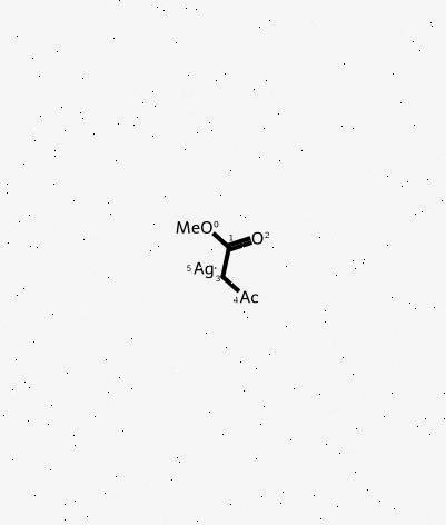 COC(=O)CC(C)=O.[Ag]